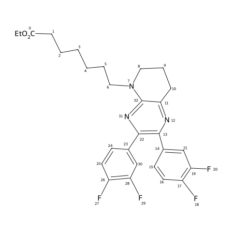 CCOC(=O)CCCCCCN1CCCc2nc(-c3ccc(F)c(F)c3)c(-c3ccc(F)c(F)c3)nc21